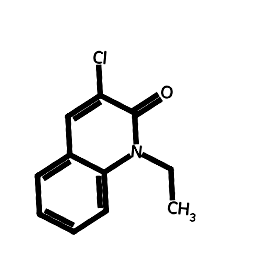 CCn1c(=O)c(Cl)cc2ccccc21